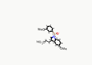 COc1cccc([S+]([O-])n2cc(CCC(=O)O)c3cc(OC)ccc32)c1